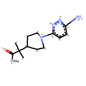 COC(=O)C(C)(C)C1CCN(c2ccc(N)nn2)CC1